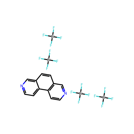 F[B-](F)(F)F.F[B-](F)(F)F.F[B-](F)(F)F.F[B-](F)(F)F.c1cc2c(ccc3cnccc32)cn1